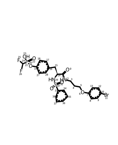 O=C(NCCCOc1ccc(Br)cc1)[C@H](Cc1ccc(OP(=O)(O)C(F)F)cc1)NS(=O)(=O)c1ccccc1